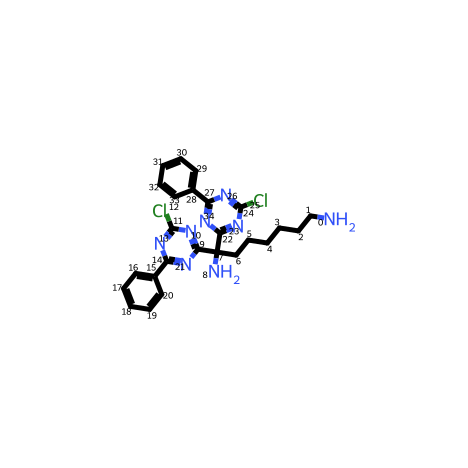 NCCCCCCC(N)(c1nc(Cl)nc(-c2ccccc2)n1)c1nc(Cl)nc(-c2ccccc2)n1